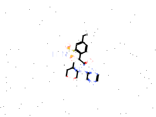 CCc1ccc([C@@H](CC2CCOCC2)C(=O)Nc2cnccn2)c(S(N)(=O)=O)c1